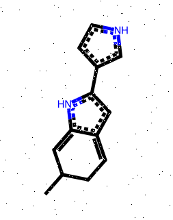 CC1C=c2[nH]c(-c3cc[nH]c3)cc2=CC1